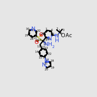 CC(=O)OC(C)(C)Nc1cccc(C(N)(Cc2ccc(-n3cccn3)cc2)S(=O)(=O)c2cccnc2)n1